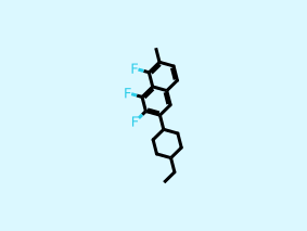 CCC1CCC(c2cc3ccc(C)c(F)c3c(F)c2F)CC1